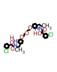 CC(Cc1ccc(OCCOCCOc2ccc(CC(C)NC(=O)[C@H](O)c3cccc(Cl)c3)cc2)cc1)NC(=O)C(O)c1cccc(Cl)c1